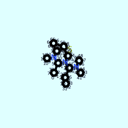 c1ccc(-c2cc(N(c3ccccc3)c3ccccc3)cc(N(c3cc(-c4ccc5ccccc5c4)cc(N(c4ccccc4)c4ccccc4)c3)c3ccc4sc5ccc(-c6ccccc6)cc5c4c3)c2)cc1